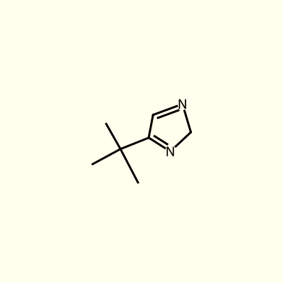 CC(C)(C)C1=NCN=C1